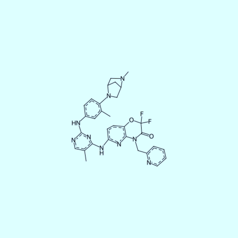 Cc1cc(Nc2ncc(C)c(Nc3ccc4c(n3)N(Cc3ccccn3)C(=O)C(F)(F)O4)n2)ccc1N1CC2CC1CN2C